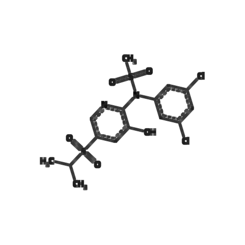 CC(C)S(=O)(=O)c1cnc(N(c2cc(Cl)cc(Cl)c2)S(C)(=O)=O)c(O)c1